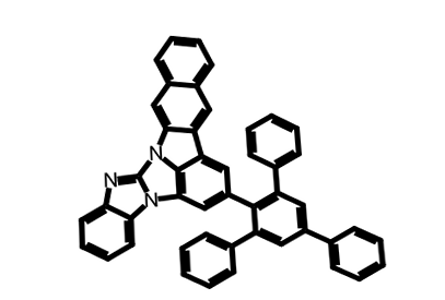 c1ccc(-c2cc(-c3ccccc3)c(-c3cc4c5cc6ccccc6cc5n5c4c(c3)n3c4ccccc4nc35)c(-c3ccccc3)c2)cc1